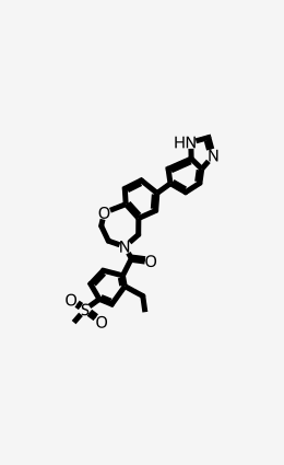 CCc1cc(S(C)(=O)=O)ccc1C(=O)N1CCOc2ccc(-c3ccc4nc[nH]c4c3)cc2C1